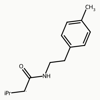 Cc1ccc(CCNC(=O)[CH]C(C)C)cc1